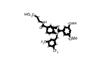 COc1cc(OC)cc(-c2nc3cc(C(=O)NCCC(=O)O)ccc3n2Cc2cc(C(F)(F)F)cc(C(F)(F)F)c2)c1